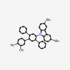 CC(C)(C)c1ccc2c(c1)c1cc(C(C)(C)C)ccc1n2-c1cc(-c2ccccc2)c(-c2ccc(C#N)c(C#N)c2)cc1-c1ccccc1